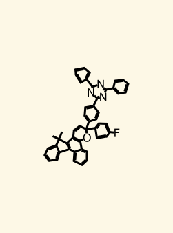 CC1(C)c2ccccc2-c2c1c1c(c3ccccc23)OC(c2ccc(F)cc2)(c2ccc(-c3nc(-c4ccccc4)nc(-c4ccccc4)n3)cc2)C=C1